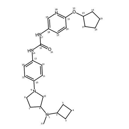 CN(C1CCC1)C1CCN(c2ccc(NC(=O)Nc3ccc(OC4CCCC4)nc3)cc2)C1